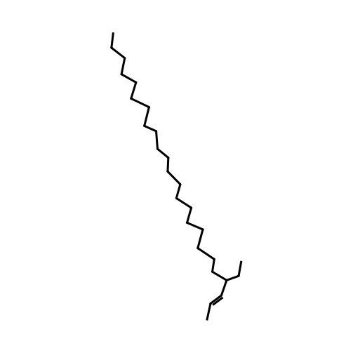 C/C=C/C(CC)CCCCCCCCCCCCCCCCCCCC